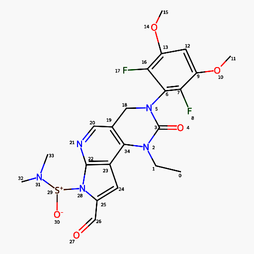 CCN1C(=O)N(c2c(F)c(OC)cc(OC)c2F)Cc2cnc3c(cc(C=O)n3[S+]([O-])N(C)C)c21